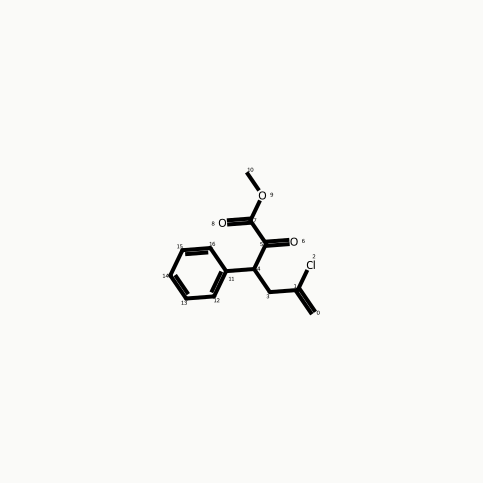 C=C(Cl)CC(C(=O)C(=O)OC)c1ccccc1